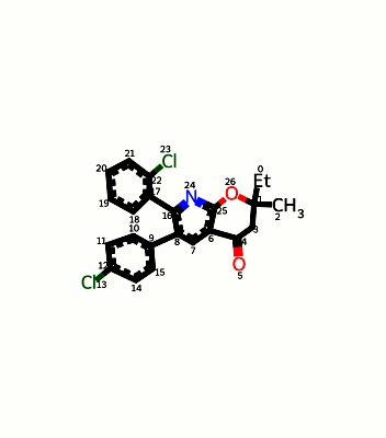 CCC1(C)CC(=O)c2cc(-c3ccc(Cl)cc3)c(-c3ccccc3Cl)nc2O1